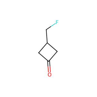 O=C1CC(CF)C1